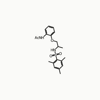 CC(=O)Nc1ccccc1OCC(C)NS(=O)(=O)c1c(C)cc(C)cc1C